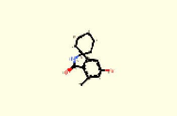 Cc1cc(Br)cc2c1C(=O)NC21CCCCC1